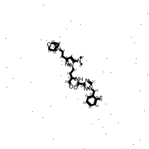 CN(C)c1cc(CCN2CC3CC2CO3)nn1CCC(C=O)NC(=O)c1ncn(Cc2ccccc2F)n1